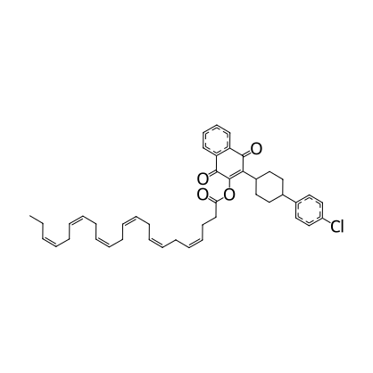 CC/C=C\C/C=C\C/C=C\C/C=C\C/C=C\C/C=C\CCC(=O)OC1=C(C2CCC(c3ccc(Cl)cc3)CC2)C(=O)c2ccccc2C1=O